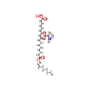 CCCCCC/C=C\COC(=O)CCCCCCCC(CCCCCCCC(=O)O)OC(=O)C(CC)N(C)C